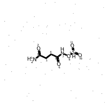 NC(=O)CCC(=O)NO[SH](=O)=O